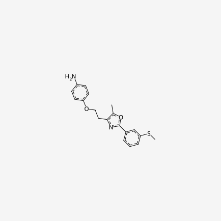 CSc1cccc(-c2nc(CCOc3ccc(N)cc3)c(C)o2)c1